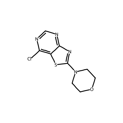 Clc1ncnc2nc(N3CCOCC3)sc12